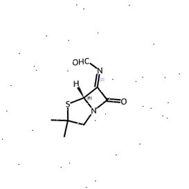 CC1(C)CN2C(=O)/C(=N/C=O)[C@H]2S1